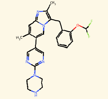 Cc1cc2nc(C)c(Cc3ccccc3OC(F)F)n2cc1-c1cnc(N2CCNCC2)nc1